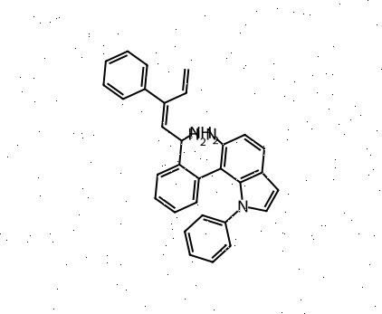 C=C/C(=C\C(N)c1ccccc1-c1c(N)ccc2ccn(-c3ccccc3)c12)c1ccccc1